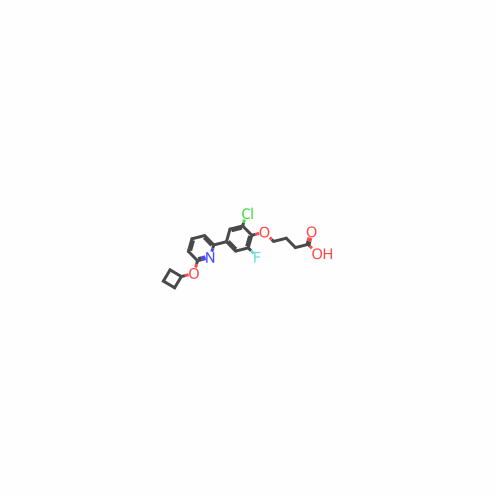 O=C(O)CCCOc1c(F)cc(-c2cccc(OC3CCC3)n2)cc1Cl